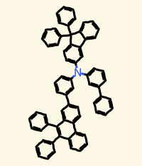 c1ccc(-c2cccc(N(c3cccc(-c4ccc5c(c4)c(-c4ccccc4)c(-c4ccccc4)c4ccccc45)c3)c3ccc4c(c3)-c3ccccc3C4(c3ccccc3)c3ccccc3)c2)cc1